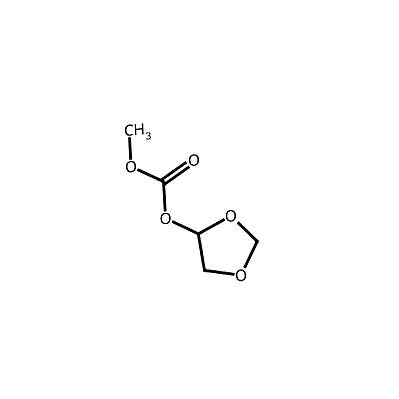 COC(=O)OC1COCO1